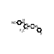 N#Cc1ccc(Nc2cc(C(F)(F)F)nc(N3CCN(Sc4ccc(F)cc4)CC3)n2)cc1